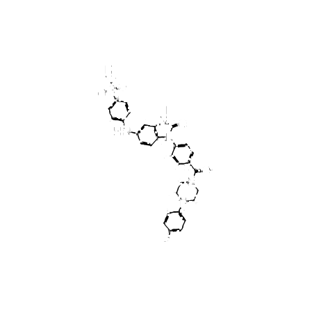 NS(=O)(=O)c1ccc(Nc2ccc3c(c2)[nH]c(=O)n3-c2ccc(C(=O)N3CCN(c4ccc(F)cc4)CC3)cc2)cc1